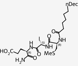 CCCCCCCCCCCCCCCC(=O)N[C@@H](CSC)C(=O)N[C@@H](I)C(=O)N[C@H](CCC(=O)O)C(N)=O